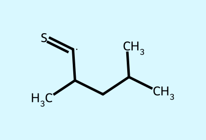 CC(C)CC(C)[C]=S